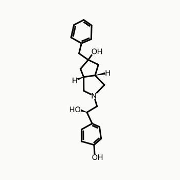 Oc1ccc([C@@H](O)CN2C[C@@H]3CC(O)(Cc4ccccc4)C[C@@H]3C2)cc1